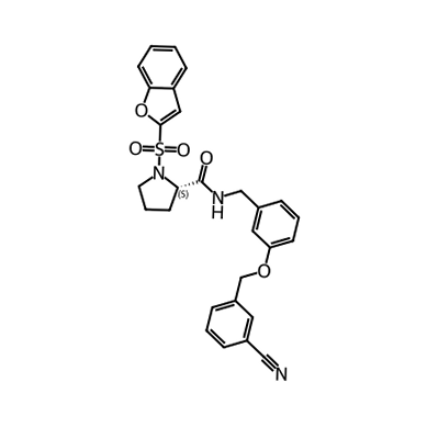 N#Cc1cccc(COc2cccc(CNC(=O)[C@@H]3CCCN3S(=O)(=O)c3cc4ccccc4o3)c2)c1